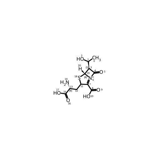 CC(O)[C@H]1C(=O)[N+]2=C(C(=O)O)C(C[C@@H](N)C(=O)O)S[C@H]12